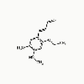 CCOc1cc(NC)c(N)cc1/C=C/C=O